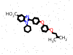 C=C(C)CCOc1cccc(Oc2ccc(-c3nc4cc(C(=O)O)ccc4n3C3CCCCC3)cc2)c1